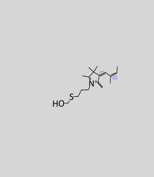 C=C1/C(=C\C(C)=C/C)C(C)(C)C(C)=[N+]1CCCSCO